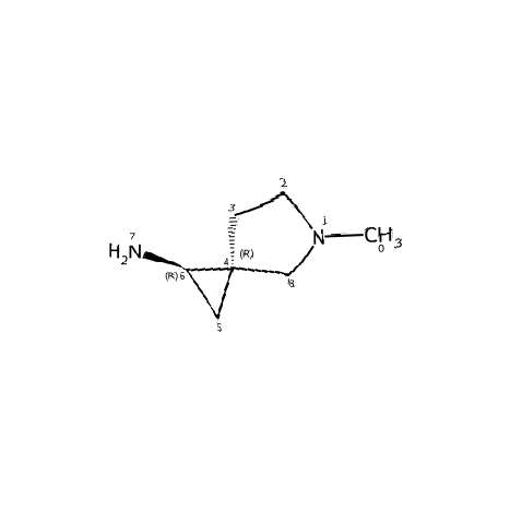 CN1CC[C@@]2(C[C@H]2N)C1